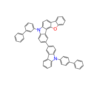 c1ccc(-c2ccc(-n3c4ccccc4c4cc(-c5ccc6c(c5)c5c7oc8ccccc8c7ccc5n6-c5cccc(-c6ccccc6)c5)ccc43)cc2)cc1